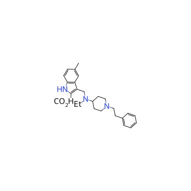 CCN(Cc1c(C(=O)O)[nH]c2ccc(C)cc12)C1CCN(CCc2ccccc2)CC1